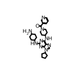 NC1CCC(Nc2nc(NC3CCN(C(=O)c4cccnc4)CC3)c3ncn(C4CCCC4)c3n2)CC1